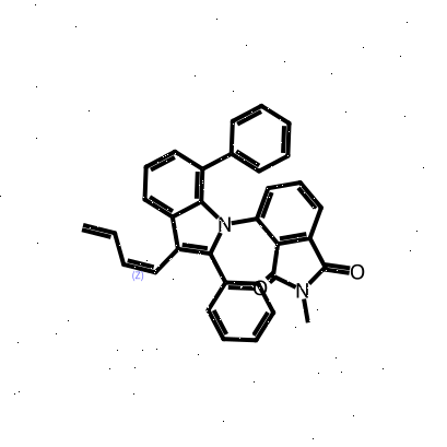 C=C/C=C\c1c(-c2ccccc2)n(-c2cccc3c2C(=O)N(C)C3=O)c2c(-c3ccccc3)cccc12